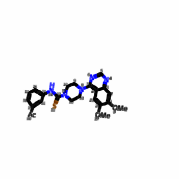 COc1cc2ncnc(N3CCN(C(=S)Nc4cccc(C(C)=O)c4)CC3)c2cc1OC